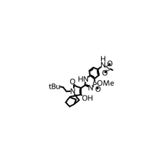 COP1(=O)N=C(C2=C(O)C3(CC4CCC3C4)N(CCC(C)(C)C)C2=O)Nc2ccc(NS(C)(=O)=O)cc21